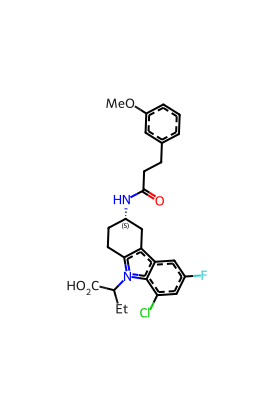 CCC(C(=O)O)n1c2c(c3cc(F)cc(Cl)c31)C[C@@H](NC(=O)CCc1cccc(OC)c1)CC2